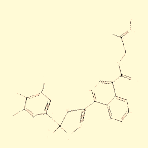 O=C(NC/C(=N/O)C(F)(F)F)c1ccc(C2=NOC(c3cc(Cl)c(F)c(Cl)c3)(C(F)(F)F)C2)c2ccccc12